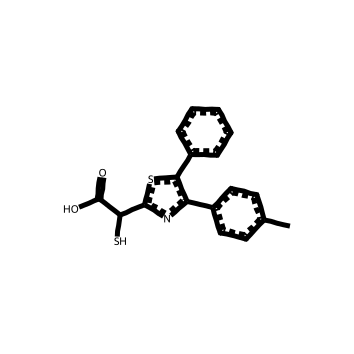 Cc1ccc(-c2nc(C(S)C(=O)O)sc2-c2ccccc2)cc1